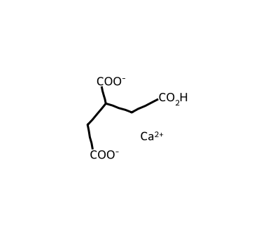 O=C([O-])CC(CC(=O)O)C(=O)[O-].[Ca+2]